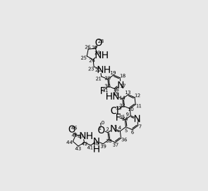 COc1nc(-c2ccnc(-c3cccc(Nc4nccc(CNCC5CCC(=O)N5)c4F)c3Cl)c2F)ccc1CNCC1CCC(=O)N1